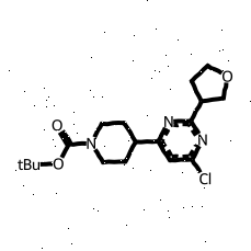 CC(C)(C)OC(=O)N1CCC(c2cc(Cl)nc(C3CCOC3)n2)CC1